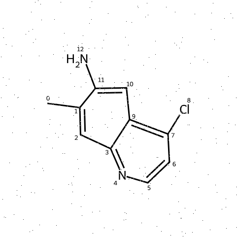 Cc1cc2nccc(Cl)c2cc1N